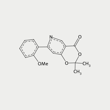 COc1ccccc1-c1cc2c(cn1)C(=O)OC(C)(C)O2